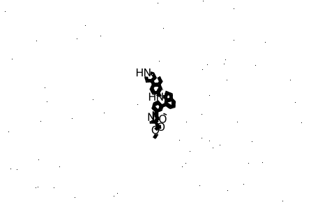 CCOC(=O)c1cnn(-c2cccc(-c3cccc4c3C(Nc3ccc(C5CCNCC5)c(CC)c3)CC4)c2)c1OC